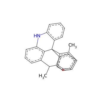 Cc1ccccc1C12c3ccccc3Nc3cccc(c31)C(C)c1ccccc12